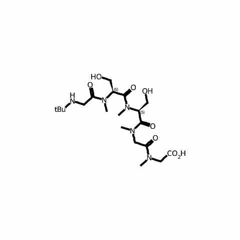 CN(CC(=O)O)C(=O)CN(C)C(=O)[C@H](CO)N(C)C(=O)[C@H](CO)N(C)C(=O)CNC(C)(C)C